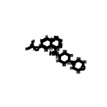 CC(C)Oc1ccc2ncnc(N[C@H]3CC[C@H](N4CCOCC4)CC3)c2c1